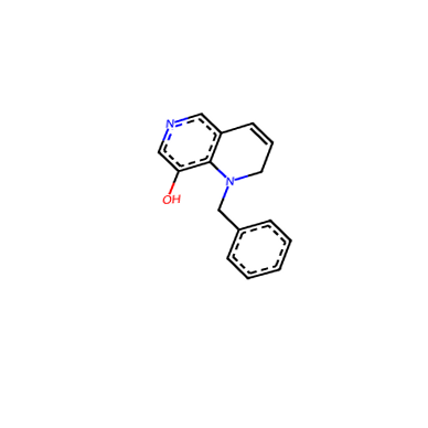 Oc1cncc2c1N(Cc1ccccc1)CC=C2